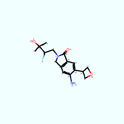 CC(C)(O)C(F)CN1Cc2cc(N)c(C3COC3)cc2C1=O